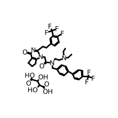 CCN(CC)CCN(Cc1ccc(-c2ccc(C(F)(F)F)cc2)cc1)C(=O)Cn1c(CCc2ccc(F)c(C(F)(F)F)c2)nc(=O)c2c1CCC2.O=C(O)C(O)C(O)C(=O)O